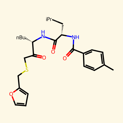 CCCC[C@H](NC(=O)[C@H](CC(C)C)NC(=O)c1ccc(C)cc1)C(=O)CSCc1ccco1